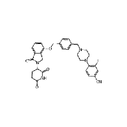 N#Cc1ccc(N2CCN(Cc3ccc(COc4cccc5c4CN(C4CCC(=O)NC4=O)C5=O)cc3)CC2)c(F)c1